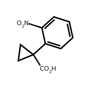 O=C(O)C1(c2ccccc2[N+](=O)[O-])CC1